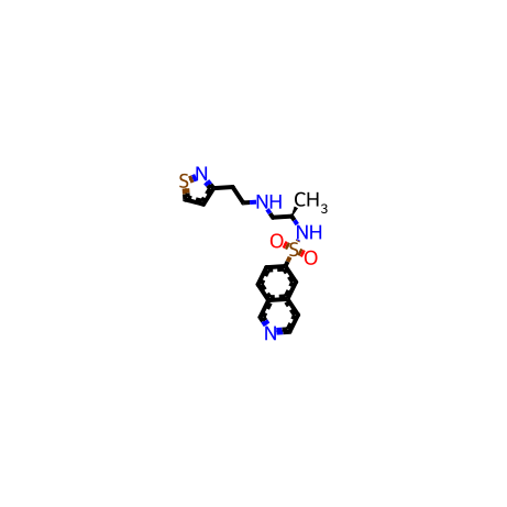 C[C@H](CNCCc1ccsn1)NS(=O)(=O)c1ccc2cnccc2c1